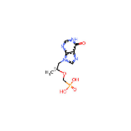 C[C@H](Cn1cnc2c(=O)[nH]cnc21)OCP(=O)(O)O